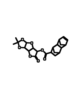 CC1(C)OC2OC3C(OC(=O)C4CC5CC4C4C6C=CC(C6)C54)C(=O)OC3C2O1